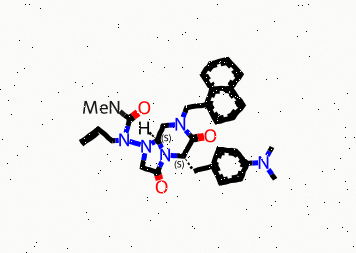 C=CCN(C(=O)NC)N1CC(=O)N2[C@@H](Cc3ccc(N(C)C)cc3)C(=O)N(Cc3cccc4ccccc34)C[C@@H]21